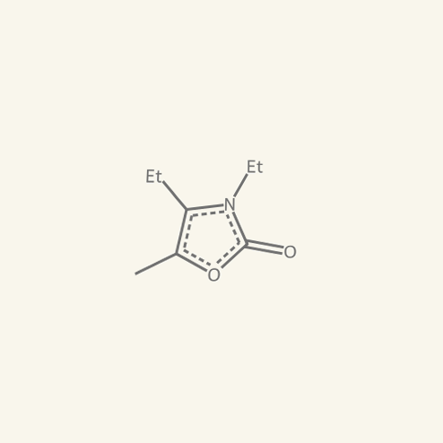 CCc1c(C)oc(=O)n1CC